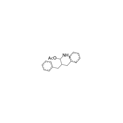 CC(=O)OC(N)C(Cc1ccccc1)Cc1ccccc1